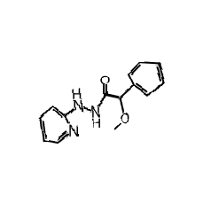 COC(C(=O)NNc1ccccn1)c1ccccc1